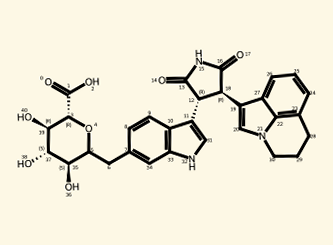 O=C(O)[C@@H]1OC(Cc2ccc3c([C@@H]4C(=O)NC(=O)[C@H]4c4cn5c6c(cccc46)CCC5)c[nH]c3c2)[C@@H](O)[C@H](O)[C@H]1O